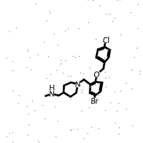 CNCC1CCN(Cc2cc(Br)ccc2OCc2ccc(Cl)cc2)CC1